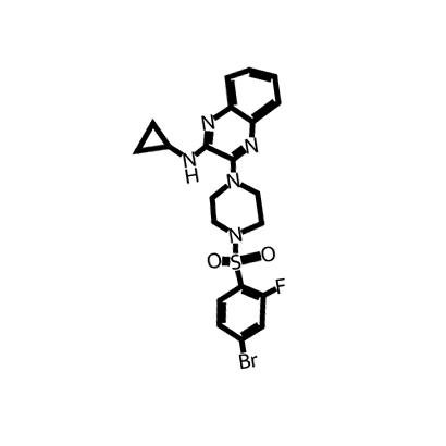 O=S(=O)(c1ccc(Br)cc1F)N1CCN(c2nc3ccccc3nc2NC2CC2)CC1